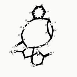 CC1CC2(COCC(=O)N2)C2COC3CCC(CC3)c3ccccc3OCCC(=O)N12